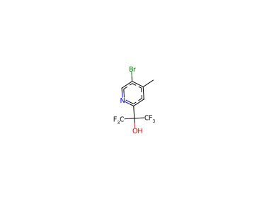 Cc1cc(C(O)(C(F)(F)F)C(F)(F)F)ncc1Br